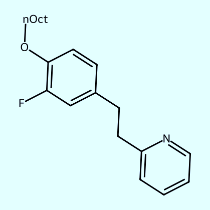 CCCCCCCCOc1ccc(CCc2ccccn2)cc1F